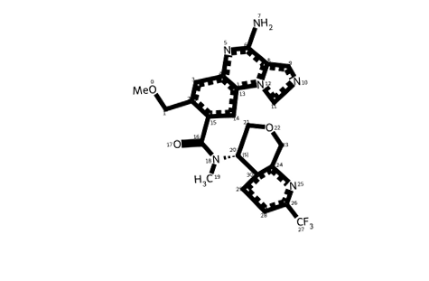 COCc1cc2nc(N)c3cncn3c2cc1C(=O)N(C)[C@@H]1COCc2nc(C(F)(F)F)ccc21